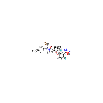 CNC(C(=O)O)(c1nc(-c2ccc(C(F)(F)F)cc2)c(Br)o1)C(C)Oc1ccc(F)c(C(N)=O)c1F